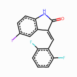 O=C1Nc2ccc(I)cc2C1=Cc1c(F)cccc1F